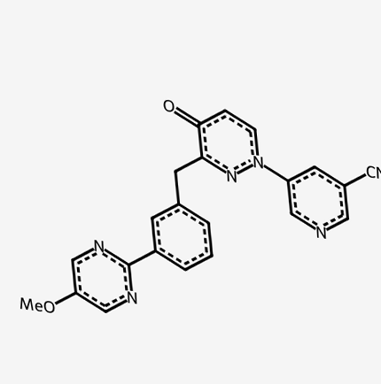 COc1cnc(-c2cccc(Cc3nn(-c4cncc(C#N)c4)ccc3=O)c2)nc1